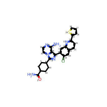 NC(=O)C1CCC(c2nc(-c3cc4nc(-c5cccs5)ccc4cc3Cl)c3c(N)nccn23)CC1